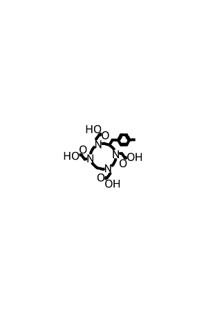 Cc1ccc(CC2CN(CC(=O)O)CCN(CC(=O)O)CCCN(CC(=O)O)CCN(CC(=O)O)C2)cc1